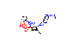 Cc1ccc(C(=O)N[C@H]2CCCC[C@@H]2O)cc1NCc1cnc(N)nc1